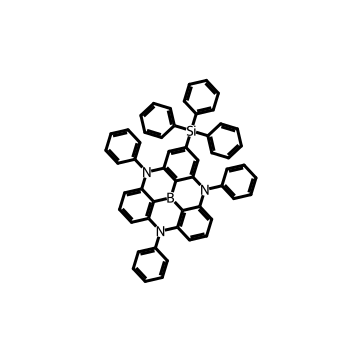 c1ccc(N2c3cccc4c3B3c5c2cccc5N(c2ccccc2)c2cc([Si](c5ccccc5)(c5ccccc5)c5ccccc5)cc(c23)N4c2ccccc2)cc1